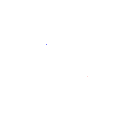 COC[C@H](C)NC(=O)c1ncn(C2CCC3(CC2)CCN(c2cccc(Cl)c2)C3=O)c1C(N)=O